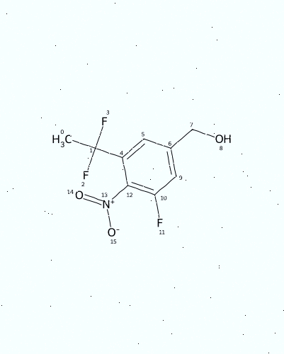 CC(F)(F)c1cc(CO)cc(F)c1[N+](=O)[O-]